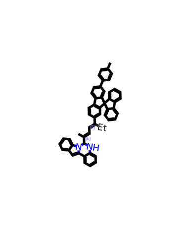 CC/C(=C\C=C(/C)C1Nc2ccccc2-c2cc3ccccc3n21)c1ccc2c(c1)C1(c3ccccc3-c3ccccc31)c1cc(-c3ccc(C)cc3)ccc1-2